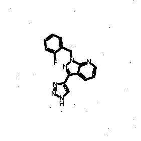 Fc1ccccc1Cn1nc(-c2c[nH]nn2)c2cccnc21